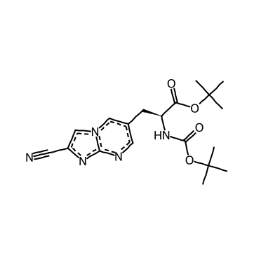 CC(C)(C)OC(=O)N[C@@H](Cc1cnc2nc(C#N)cn2c1)C(=O)OC(C)(C)C